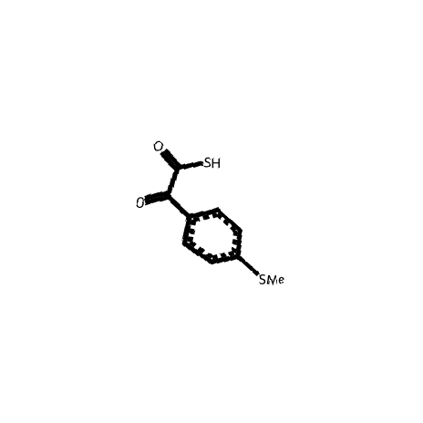 CSc1ccc(C(=O)C(=O)S)cc1